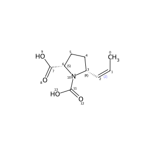 C/C=C\[C@H]1CC[C@@H](C(=O)O)N1C(=O)O